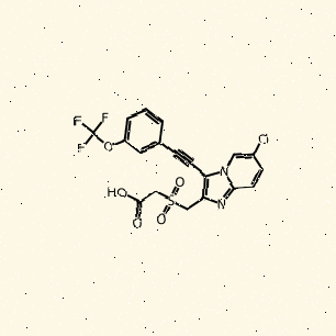 O=C(O)CS(=O)(=O)Cc1nc2ccc(Cl)cn2c1C#Cc1cccc(OC(F)(F)F)c1